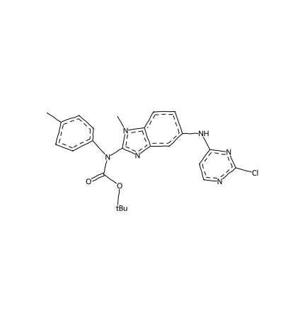 Cc1ccc(N(C(=O)OC(C)(C)C)c2nc3cc(Nc4ccnc(Cl)n4)ccc3n2C)cc1